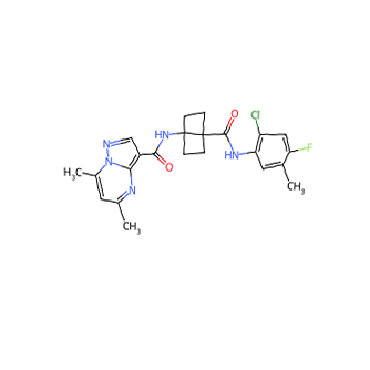 Cc1cc(C)n2ncc(C(=O)NC34CCC3(C(=O)Nc3cc(C)c(F)cc3Cl)CC4)c2n1